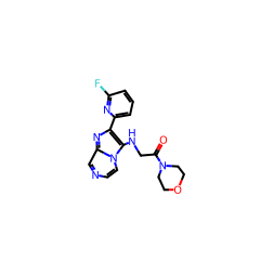 O=C(CNc1c(-c2cccc(F)n2)nc2cnccn12)N1CCOCC1